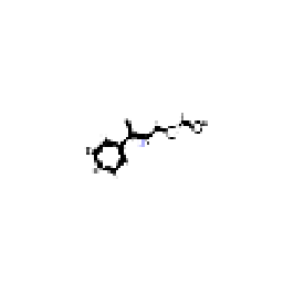 C/C(=C\COC=O)c1ccccc1